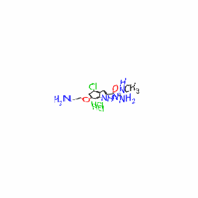 CNC(N)=NC(=O)c1cc2c(Cl)cc(OCCN)cc2[nH]1.Cl.Cl